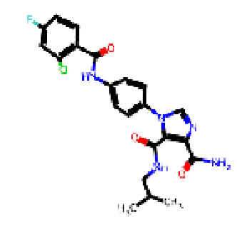 CC(C)CNC(=O)c1c(C(N)=O)ncn1-c1ccc(NC(=O)c2ccc(F)cc2Cl)cc1